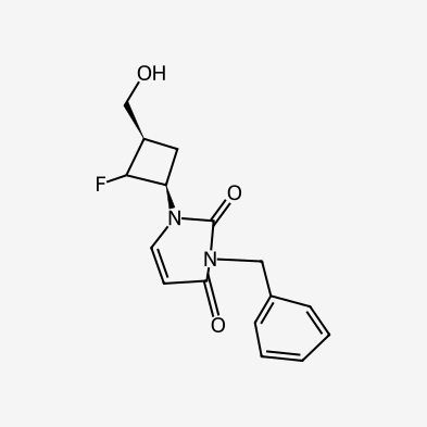 O=c1ccn([C@@H]2C[C@H](CO)C2F)c(=O)n1Cc1ccccc1